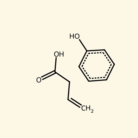 C=CCC(=O)O.Oc1ccccc1